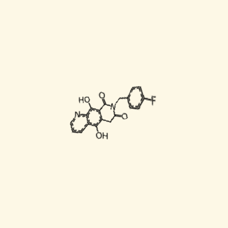 O=C1Cc2c(c(O)c3ncccc3c2O)C(=O)N1Cc1ccc(F)cc1